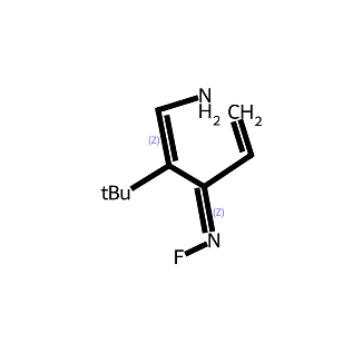 C=CC(=N/F)/C(=C\N)C(C)(C)C